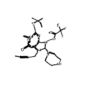 CC#CCN1c2c(nc(SC(C)(C)C)n(C)c2=O)N(OC(=O)C(F)(F)F)C1N1CCNCC1